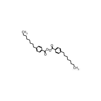 CCCCCCCCc1ccc(C(=O)OOC(=O)c2ccc(CCCCCCCC)cc2)cc1